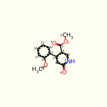 COC(=O)c1c[nH]c(=O)cc1-c1ccccc1OC